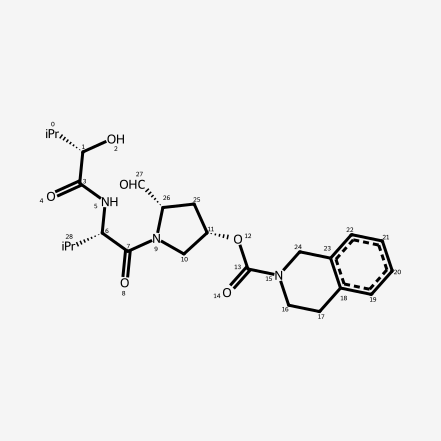 CC(C)[C@H](O)C(=O)N[C@H](C(=O)N1C[C@@H](OC(=O)N2CCc3ccccc3C2)C[C@H]1C=O)C(C)C